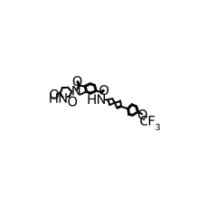 O=C1CCC(N2Cc3cc(C(=O)NC4CC5(C=C(c6ccc(OC(F)(F)F)cc6)C5)C4)ccc3C2=O)C(=O)N1